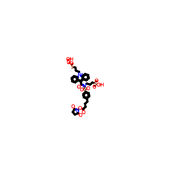 O=C(CCCc1ccc(S(=O)(=O)N(CCCS(=O)(=O)O)C(=O)c2c3ccccc3[n+](CCCSOOO)c3ccccc23)cc1)ON1C(=O)CCC1=O